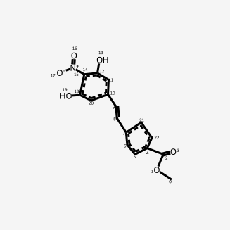 COC(=O)c1ccc(C=Cc2cc(O)c([N+](=O)[O-])c(O)c2)cc1